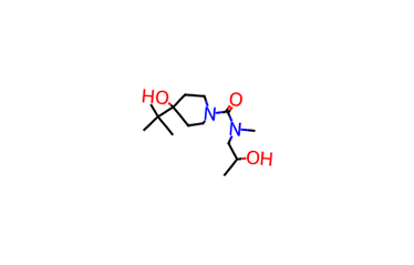 CC(O)CN(C)C(=O)N1CCC(O)(C(C)(C)C)CC1